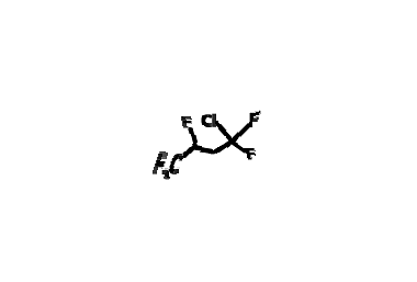 FC(CC(F)(F)Cl)C(F)(F)F